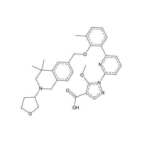 COc1c(C(=O)O)cnn1-c1cccc(-c2cccc(C)c2OCc2ccc3c(c2)C(C)(C)CN(C2CCOC2)C3)n1